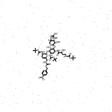 CN(C(=O)O)[C@@H]1[C@@H](O)[C@@H](O[C@@H]2[C@@H](O)[C@H](O[C@H]3OC(CNC(=O)OCc4ccc([N+](=O)[O-])cc4)=CC[C@H]3NC(=O)OC(C)(C)C)[C@@H](NC(=O)OC(C)(C)C)C[C@H]2NC(=O)[C@@H](O)CCNC(=O)OC(C)(C)C)OC[C@]1(C)O